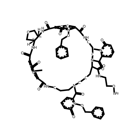 CCCOCCNC(=O)C1CCCN(C(=O)c2cccc(=O)n2OCc2ccccc2)CCCNC(=O)c2ccc(c(=O)n2C)C(=O)N[C@@H]2COC[C@@H]2NC(=O)c2ccc(n(OCc3ccccc3)c2=O)C(=O)NCCCN1C(=O)c1cccc(=O)n1C